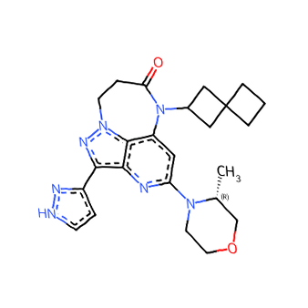 C[C@@H]1COCCN1c1cc2c3c(n1)c(-c1cc[nH]n1)nn3CCC(=O)N2C1CC2(CCC2)C1